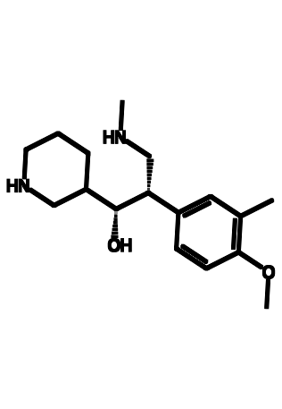 CNC[C@H](c1ccc(OC)c(C)c1)[C@H](O)C1CCCNC1